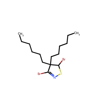 CCCCCCC1(CCCCCC)C(Br)=NSC1Br